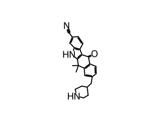 CC1(C)c2cc(CC3CCNCC3)ccc2C(=O)c2c1[nH]c1cc(C#N)ccc21